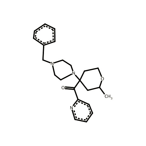 CC1CC(C(=O)c2ccccn2)(N2CCN(Cc3ccccc3)CC2)CCO1